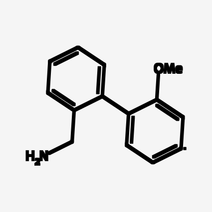 COc1c[c]ccc1-c1ccccc1CN